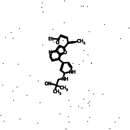 C/C=C(\C=C/C(=O)CC)c1cc2nccc(C3=CC(NCC(C)(C)N=O)NC=C3)c2o1